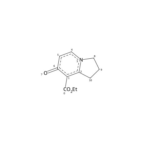 CCOC(=O)c1c2n(ccc1=O)CCC2